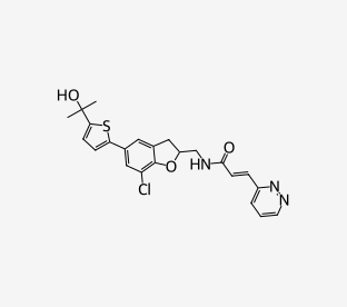 CC(C)(O)c1ccc(-c2cc(Cl)c3c(c2)CC(CNC(=O)C=Cc2cccnn2)O3)s1